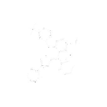 CC(C)(C)c1ccc2c(c1)Cc1c-2ccc(C(C)(C)C)[c]1[Zr+2]([C]1=CC(c2ccccc2)=CC1)=[C]1CCCCC1.[Cl-].[Cl-]